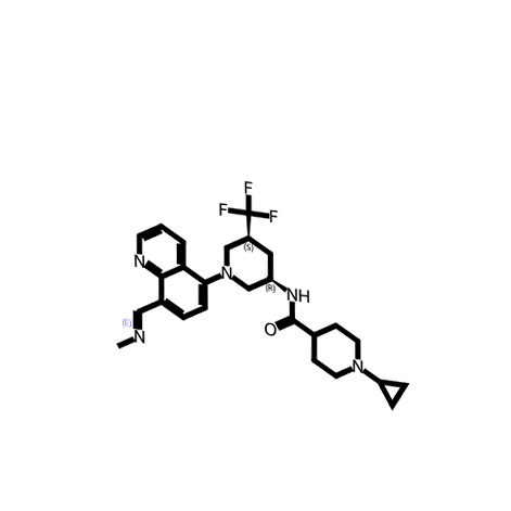 C/N=C/c1ccc(N2C[C@H](NC(=O)C3CCN(C4CC4)CC3)C[C@H](C(F)(F)F)C2)c2cccnc12